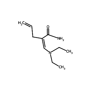 C=CCC(=CN(CC)CC)C(N)=O